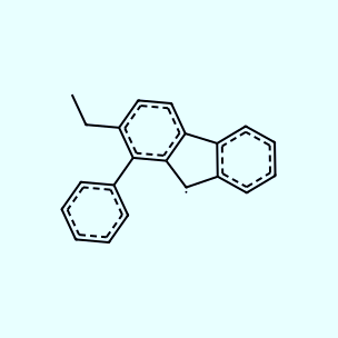 CCc1ccc2c(c1-c1ccccc1)[CH]c1ccccc1-2